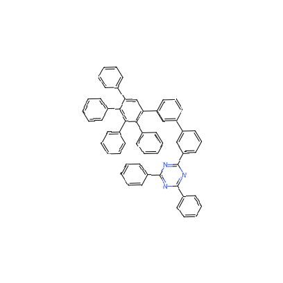 c1ccc(-c2nc(-c3ccccc3)nc(-c3cccc(-c4cccc(-c5cc(-c6ccccc6)c(-c6ccccc6)c(-c6ccccc6)c5-c5ccccc5)c4)c3)n2)cc1